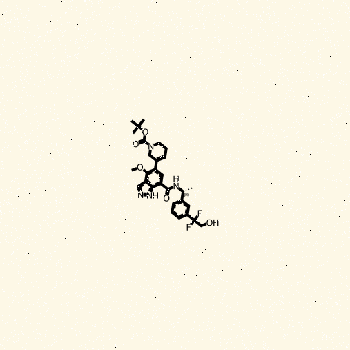 COc1c(C2=CCCN(C(=O)OC(C)(C)C)C2)cc(C(=O)N[C@H](C)c2cccc(C(F)(F)CO)c2)c2[nH]ncc12